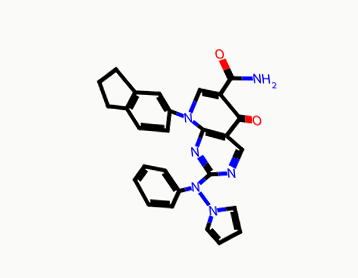 NC(=O)c1cn(-c2ccc3c(c2)CCC3)c2nc(N(c3ccccc3)n3cccc3)ncc2c1=O